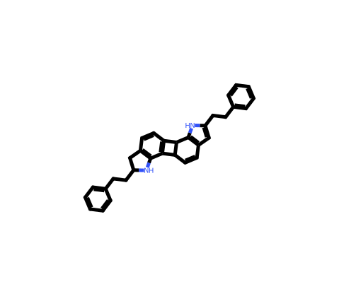 C1=CC2c3c(ccc4c3NC(CCc3ccccc3)C4)C2c2[nH]c(CCc3ccccc3)cc21